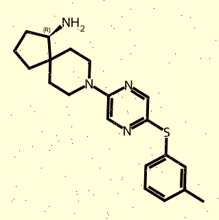 Cc1cccc(Sc2cnc(N3CCC4(CCC[C@H]4N)CC3)cn2)c1